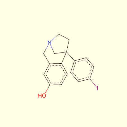 Oc1ccc2c(c1)CN1CCC2(c2ccc(I)cc2)C1